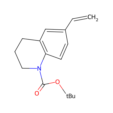 C=Cc1ccc2c(c1)CCCN2C(=O)OC(C)(C)C